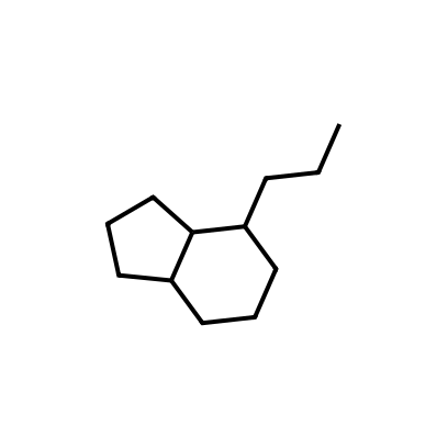 CCCC1CCCC2CCCC12